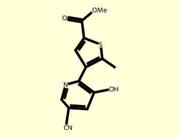 COC(=O)c1cc(-c2ncc(C#N)cc2O)c(C)s1